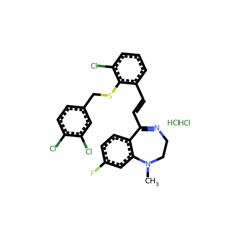 CN1CCN=C(C=Cc2cccc(Cl)c2SCc2ccc(Cl)c(Cl)c2)c2ccc(F)cc21.Cl.Cl